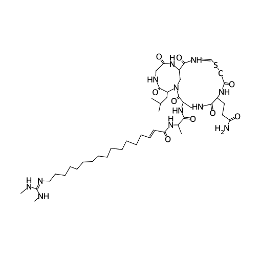 CNC(=NCCCCCCCCCCCCCC/C=C/C(=O)NC(C)C(=O)NC1CNC(=O)C(CCC(N)=O)NC(=O)CS/C=C\NC(=O)C2CN(C1=O)C(CC(C)C)C(=O)NCC(=O)N2)NC